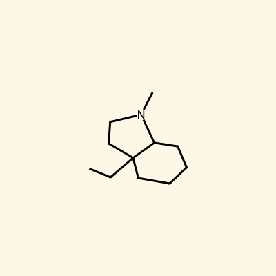 CCC12CCCCC1N(C)CC2